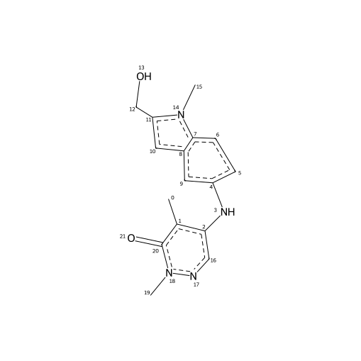 Cc1c(Nc2ccc3c(c2)cc(CO)n3C)cnn(C)c1=O